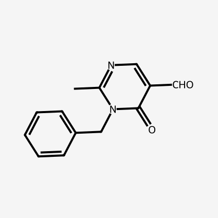 Cc1ncc(C=O)c(=O)n1Cc1ccccc1